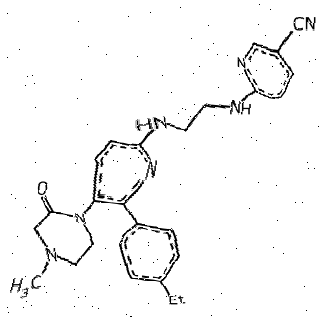 CCc1ccc(-c2nc(NCCNc3ccc(C#N)cn3)ccc2N2CCN(C)CC2=O)cc1